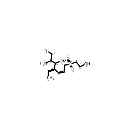 C/C=C(\C=C/CS(=O)(=O)CCO)C(OC)C(N)CF